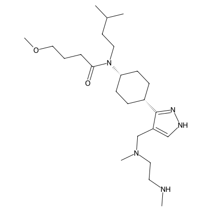 CNCCN(C)Cc1c[nH]nc1[C@H]1CC[C@@H](N(CCC(C)C)C(=O)CCCOC)CC1